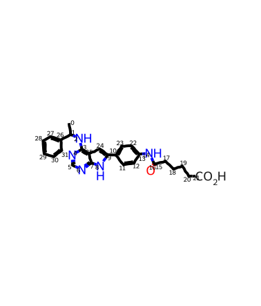 CC(Nc1ncnc2[nH]c(-c3ccc(NC(=O)CCCCC(=O)O)cc3)cc12)c1ccccc1